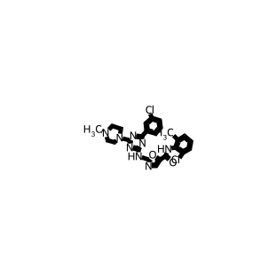 Cc1cccc(Cl)c1NC(=O)c1cnc(Nc2nc(-c3cccc(Cl)c3)nc(N3CCN(C)CC3)n2)o1